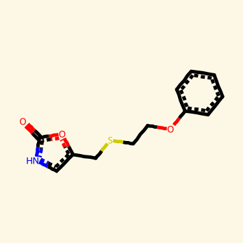 O=c1[nH]cc(CSCCOc2ccccc2)o1